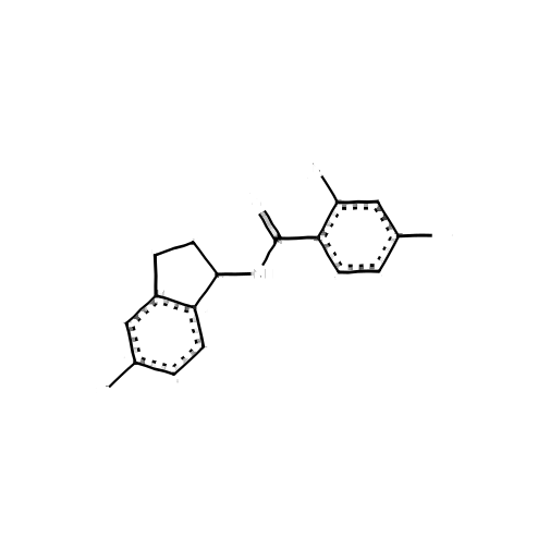 Nc1cc(Cl)ccc1C(=O)NC1CCc2cc(Cl)ccc21